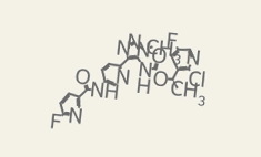 C[C@@H](OC(=O)Nc1c(-c2ccc(NC(=O)c3ccc(F)nc3)cn2)nnn1C)c1cc(F)cnc1Cl